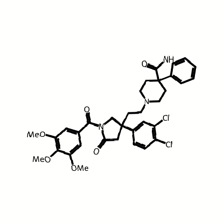 COc1cc(C(=O)N2CC(CCN3CCC(C(N)=O)(c4ccccc4)CC3)(c3ccc(Cl)c(Cl)c3)CC2=O)cc(OC)c1OC